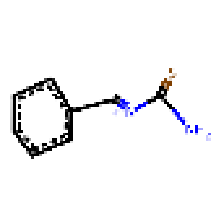 NC(=S)/N=C/c1ccccc1